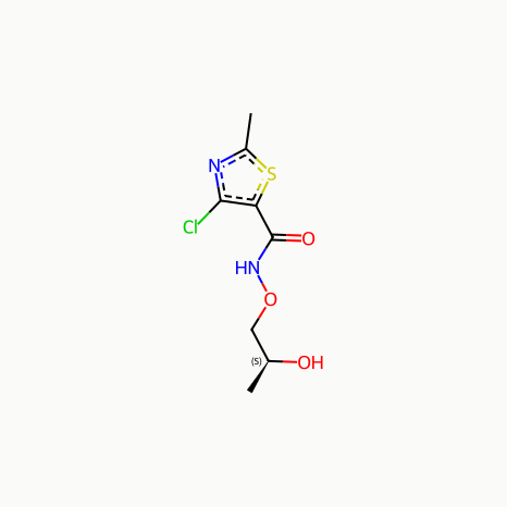 Cc1nc(Cl)c(C(=O)NOC[C@H](C)O)s1